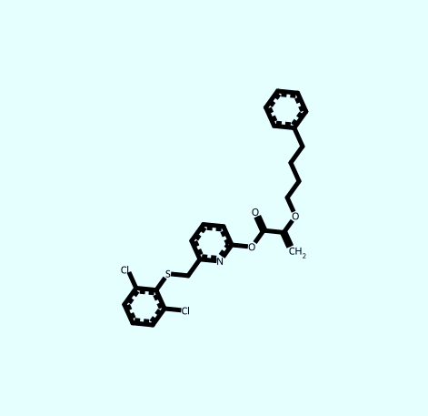 C=C(OCCCCc1ccccc1)C(=O)Oc1cccc(CSc2c(Cl)cccc2Cl)n1